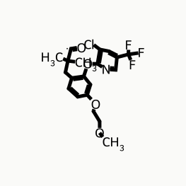 COCCOc1ccc(CC(C)(C)[C]=O)c(Oc2ncc(C(F)(F)F)cc2Cl)c1